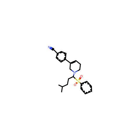 CC(C)CCC(N1CCC=C(c2ccc(C#N)cc2)C1)S(=O)(=O)c1ccccc1